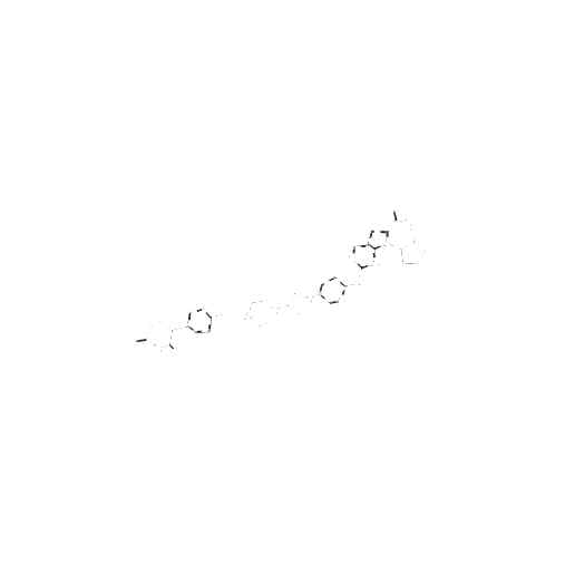 CN(C)C(=O)c1cc2cnc(Nc3ccc(N4CC(N5CCN(CCc6ccc(C7CCC(=O)NC7=O)cc6)CC5)C4)cn3)nc2n1C1CCCC1